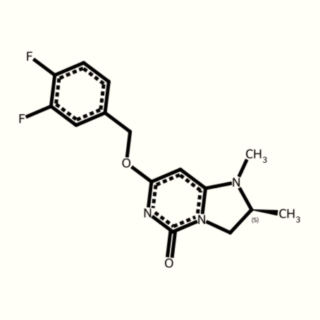 C[C@H]1Cn2c(cc(OCc3ccc(F)c(F)c3)nc2=O)N1C